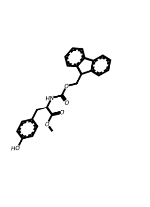 COC(=O)[C@@H](Cc1ccc(O)cc1)NC(=O)OCC1c2ccccc2-c2ccccc21